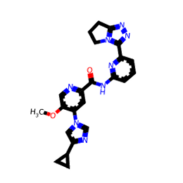 COc1cnc(C(=O)Nc2cccc(-c3nnc4n3CCC4)n2)cc1-n1cnc(C2CC2)c1